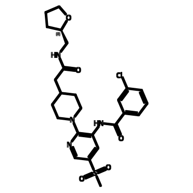 CS(=O)(=O)c1cnc(N2CCC(CC(=O)NC[C@H]3CCCO3)CC2)c(NC(=O)c2cccc(Cl)c2)c1